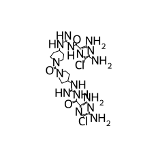 N=C(NC(=O)c1nc(Cl)c(N)nc1N)NC1CCN(C(=O)N2CCC(NC(=N)NC(=O)c3nc(Cl)c(N)nc3N)CC2)CC1